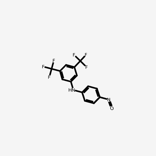 O=Nc1ccc(Nc2cc(C(F)(F)F)cc(C(F)(F)F)c2)cc1